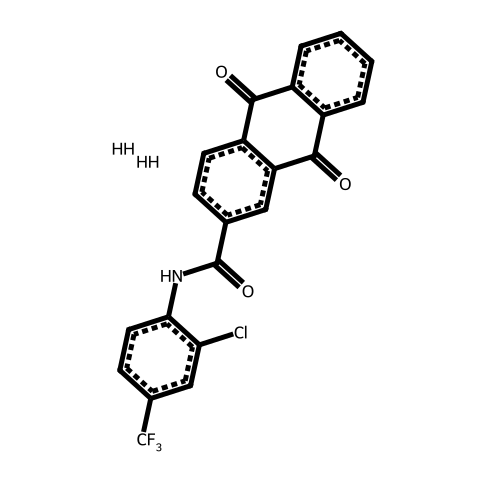 O=C(Nc1ccc(C(F)(F)F)cc1Cl)c1ccc2c(c1)C(=O)c1ccccc1C2=O.[HH].[HH]